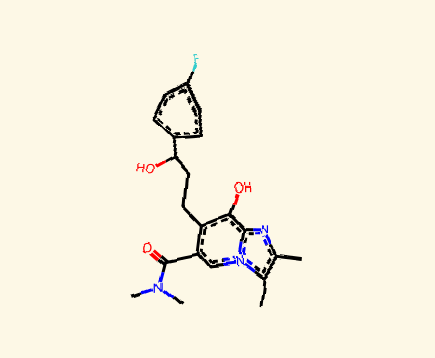 Cc1nc2c(O)c(CCC(O)c3ccc(F)cc3)c(C(=O)N(C)C)cn2c1C